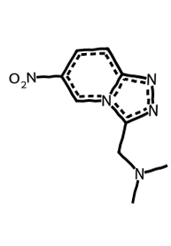 CN(C)Cc1nnc2ccc([N+](=O)[O-])cn12